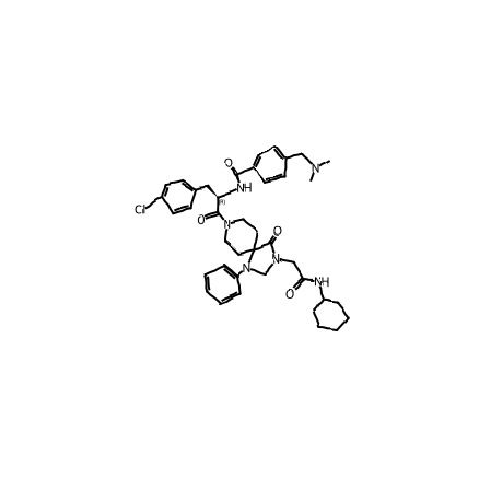 CN(C)Cc1ccc(C(=O)N[C@H](Cc2ccc(Cl)cc2)C(=O)N2CCC3(CC2)C(=O)N(CC(=O)NC2CCCCC2)CN3c2ccccc2)cc1